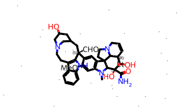 CC[C@]12C=CCN3CCC4(c5cc([C@@]6(C=O)CC7CC(O)CN(CCc8c6[nH]c6ccccc86)C7)c(OC)cc5N(C)C4[C@@](O)(C(N)=O)C1O)C32